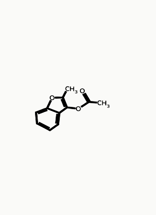 CC(=O)Oc1c(C)oc2ccccc12